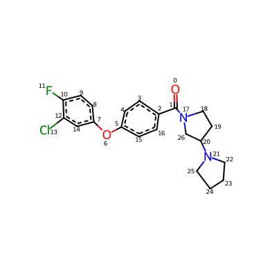 O=C(c1ccc(Oc2ccc(F)c(Cl)c2)cc1)N1CCC(N2CCCC2)C1